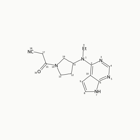 CCN(c1ncnc2[nH]ccc12)C1CCN(C(=O)CC#N)C1